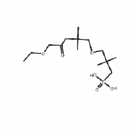 CCOCC(=O)CC(C)(C)COCC(C)(C)CP(=O)(O)O